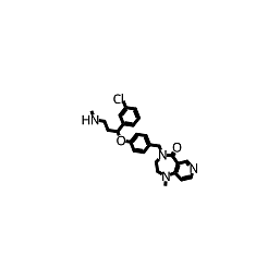 CNCCC(Oc1ccc(CN2CCN(C)c3ccncc3C2=O)cc1)c1cccc(Cl)c1